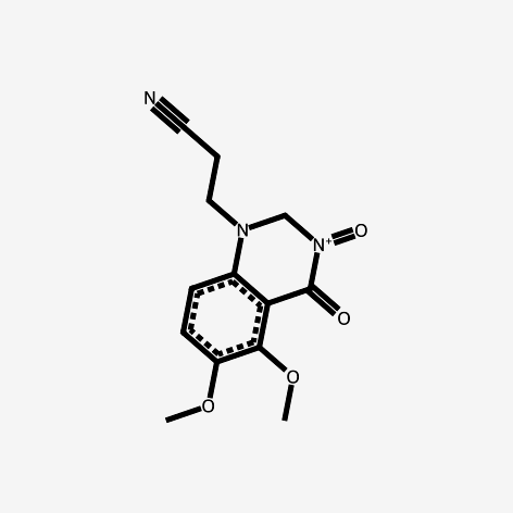 COc1ccc2c(c1OC)C(=O)[N+](=O)CN2CCC#N